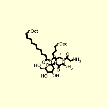 CCCCCCCC/C=C\CCCCCCCC(=O)N(CCCCCCCCCCCCCC)[C@@]1(N(C(=O)CN)C(=O)[C@H](C)NC(=O)CN)C[C@@H](O)[C@H](O)[C@@H](CO)O1